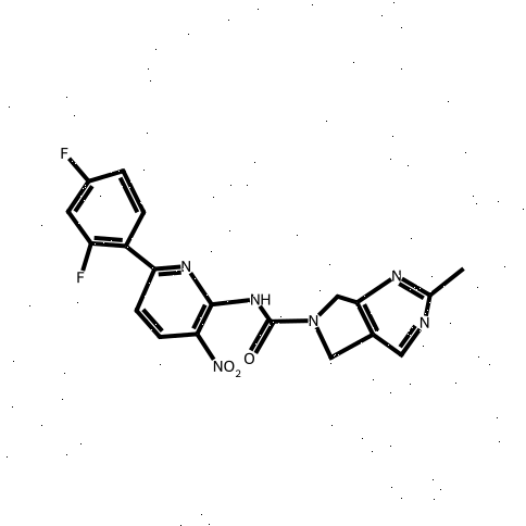 Cc1ncc2c(n1)CN(C(=O)Nc1nc(-c3ccc(F)cc3F)ccc1[N+](=O)[O-])C2